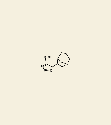 CCCCCCc1nsnc1C1CN2CCCC1C2